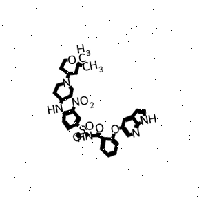 CC1(C)CC(N2CCC(Nc3ccc(S(=O)(=O)NC(=O)c4ccccc4Oc4cnc5[nH]ccc5c4)cc3[N+](=O)[O-])CC2)CCO1